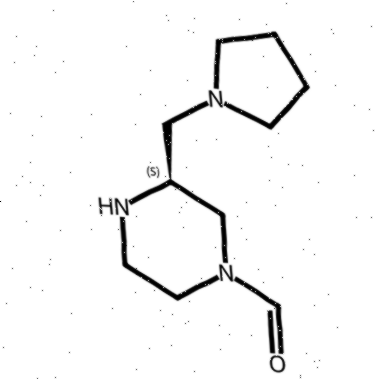 O=CN1CCN[C@@H](CN2CCCC2)C1